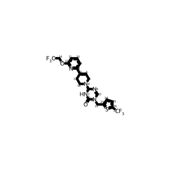 O=C1NC(N2CC=C(c3cccc(OCC(F)(F)F)n3)CC2)N=CN1Cc1ccc(C(F)(F)F)s1